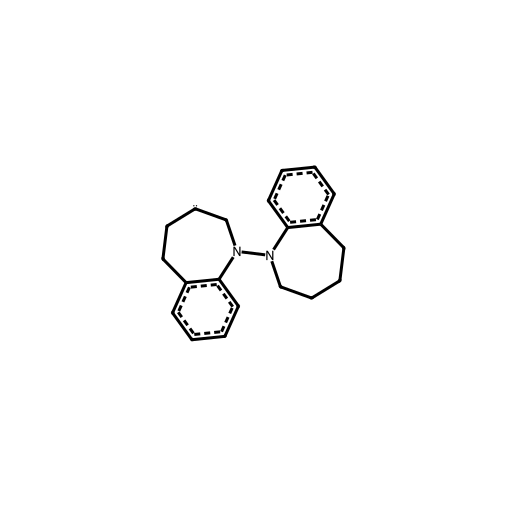 [C]1CCc2ccccc2N(N2CCCCc3ccccc32)C1